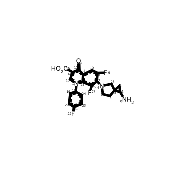 NC1CC12CCN(c1c(F)cc3c(=O)c(C(=O)O)cn(-c4ccc(F)cc4)c3c1F)C2